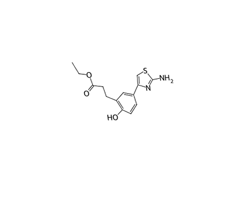 CCOC(=O)CCc1cc(-c2csc(N)n2)ccc1O